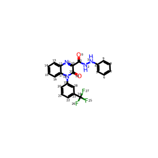 O=C(NNc1ccccc1)c1nc2ccccc2n(-c2cccc(C(F)(F)F)c2)c1=O